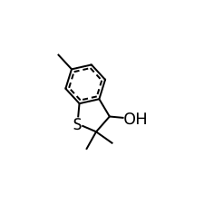 Cc1ccc2c(c1)SC(C)(C)C2O